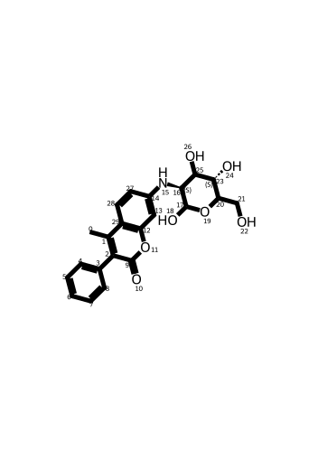 Cc1c(-c2ccccc2)c(=O)oc2cc(N[C@@H]3C(O)OC(CO)[C@@H](O)C3O)ccc12